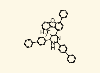 CC1=C(c2ccc(-c3ccccc3)c3oc4ccccc4c23)N=C(c2ccc(-c3ccccc3)cc2)NC1c1ccc(-c2ccccc2)cc1